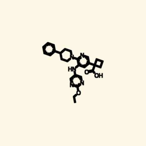 CCOc1ncc(Nc2cc(C3(C(=O)O)CCC3)cnc2N2CCC(c3ccccc3)CC2)cn1